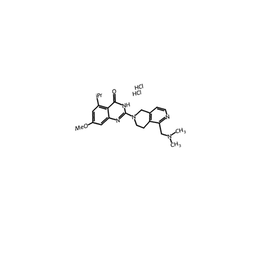 COc1cc(C(C)C)c2c(=O)[nH]c(N3CCc4c(ccnc4CN(C)C)C3)nc2c1.Cl.Cl